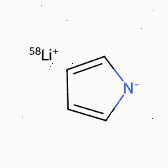 [58Li+].c1cc[n-]c1